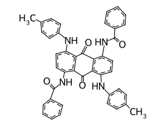 Cc1ccc(Nc2ccc(NC(=O)c3ccccc3)c3c2C(=O)c2c(NC(=O)c4ccccc4)ccc(Nc4ccc(C)cc4)c2C3=O)cc1